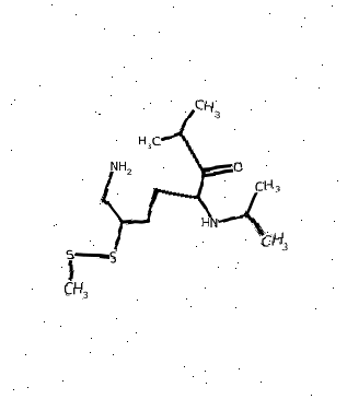 CSSC(CN)CCC(NC(C)C)C(=O)C(C)C